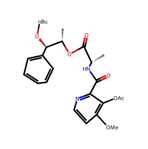 CCCCO[C@H](c1ccccc1)[C@H](C)OC(=O)[C@H](C)NC(=O)c1nccc(OC)c1OC(C)=O